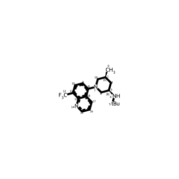 C[C@H]1C[C@@H](NC(C)(C)C)CN(c2ccc(C(F)(F)F)c3ncccc23)C1